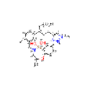 CCOC(=O)CC(CCc1cn(C(C)C)nn1)c1ccc(C)c(CN2CC(CC)Oc3ccccc3S2(O)O)c1